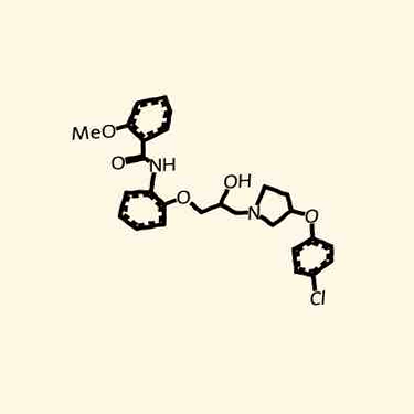 COc1ccccc1C(=O)Nc1ccccc1OCC(O)CN1CCC(Oc2ccc(Cl)cc2)C1